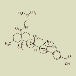 C[C@H]1[C@H](C)CC[C@]2(C(=O)NCCN(C)C)CC[C@]3(C)C(=CC[C@@H]4[C@@]5(C)CC=C(c6ccc(C(=O)O)cc6)C(C)(C)[C@H]5CC[C@]43C)[C@H]12